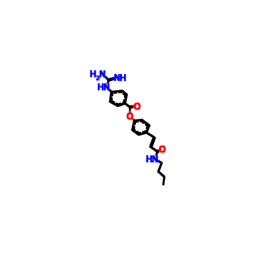 CCCCNC(=O)/C=C/c1ccc(OC(=O)c2ccc(NC(=N)N)cc2)cc1